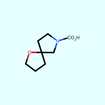 O=C(O)N1CCC2(CCCO2)C1